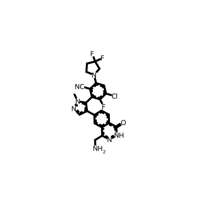 Cn1ncc(-c2ccc3c(=O)[nH]nc(CN)c3c2)c1-c1c(F)c(Cl)cc(N2CCC(F)(F)C2)c1C#N